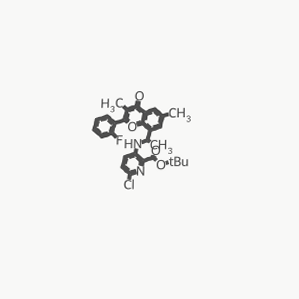 Cc1cc(C(C)Nc2ccc(Cl)nc2C(=O)OC(C)(C)C)c2oc(-c3ccccc3F)c(C)c(=O)c2c1